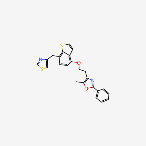 Cc1oc(-c2ccccc2)nc1CCOc1ccc(Cc2cscn2)c2sccc12